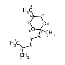 CC(C)CCCC1(C)OCC(C)CO1